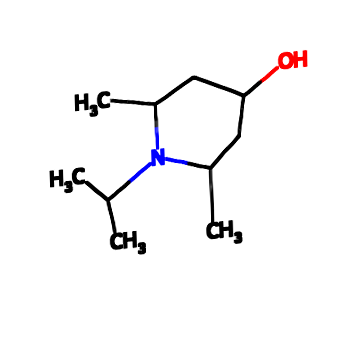 CC(C)N1C(C)CC(O)CC1C